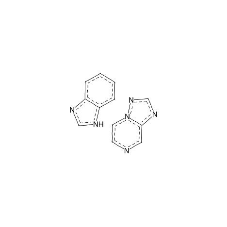 c1ccc2[nH]cnc2c1.c1cn2ncnc2cn1